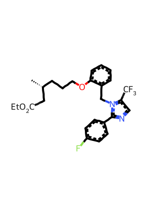 CCOC(=O)C[C@H](C)CCCOc1ccccc1Cn1c(C(F)(F)F)cnc1-c1ccc(F)cc1